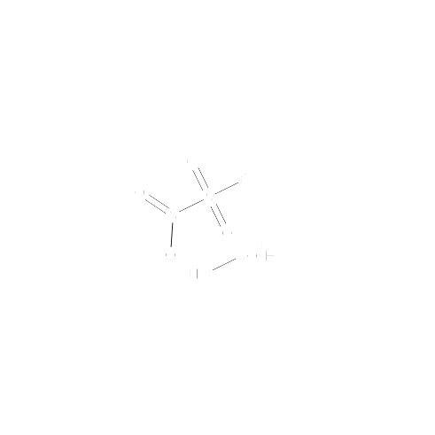 O=S(=O)(O)O.O=S([O-])S(=O)(=O)[O-].[K+].[K+]